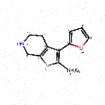 CC(=O)Nc1sc2c(c1-c1ccco1)CCNC2